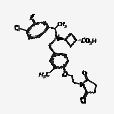 Cc1cc(CN(C(C)c2ccc(Cl)c(F)c2)[C@H]2C[C@H](C(=O)O)C2)ccc1OCCN1C(=O)CCC1=O